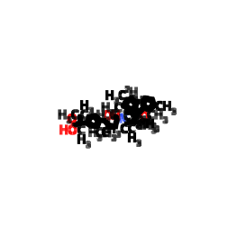 [2H]c1c([2H])c(C(OC)(c2cccc(C)c2C)C2(C)CCN(C(C)CC(C)C(O)c3ccc(C(C)(C(=O)O)C(C)C)cc3C)C(C)C2(C)C)c(C)c(C)c1C